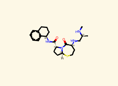 CN[C@@H](C)CN[C@H]1CCS[C@H]2CC[C@H](C(=O)N[C@@H]3CCCc4ccccc43)N2C1=O